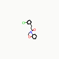 O=C(CCc1cccc(Cl)c1)N1CCOc2ccccc21